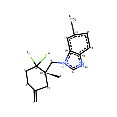 C=C1CCC(F)(F)[C@](C)(Cn2cnc3ccc(C#N)cc32)C1